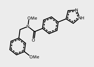 COc1cccc(CN(OC)C(=O)c2ccc(-c3cn[nH]c3)cc2)c1